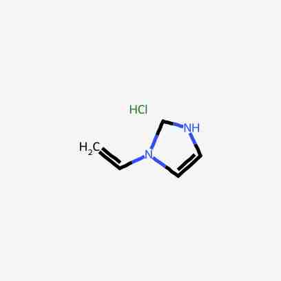 C=CN1C=CNC1.Cl